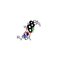 C=C1CC[C@H]2[C@@H]3CC[C@@H]4C[C@H](OC(=O)C[N+](C)(C)C)CC[C@]4(C)[C@H]3CC[C@]12C.[Cl-]